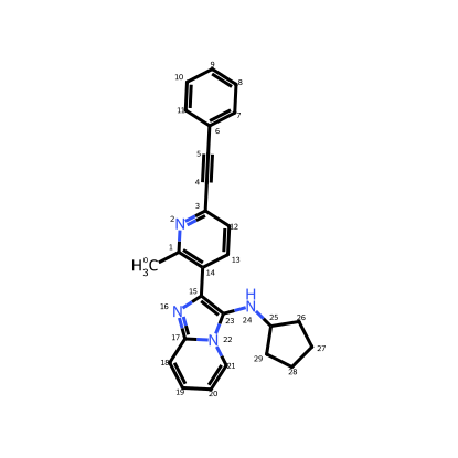 Cc1nc(C#Cc2ccccc2)ccc1-c1nc2ccccn2c1NC1CCCC1